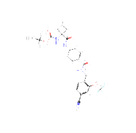 CC(C)(C)OC(=O)NC1(C(=O)N[C@H]2CC[C@@H](C(=O)NCc3ccc(C#N)cc3OC(F)(F)F)CC2)CCC1